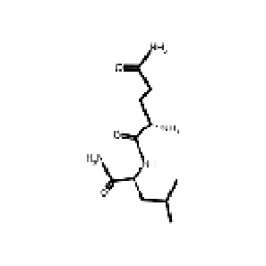 CC(C)C[C@H](NC(=O)[C@@H](N)CCC(N)=O)C(N)=O